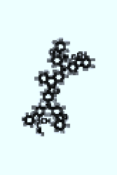 CC1(C)c2ccccc2-c2ccc(N(c3ccc4c(c3)oc3c5ccc(N(c6ccc7c(c6)C(C)(C)c6ccccc6-7)c6ccc7oc8ccccc8c7c6)cc5c5ccccc5c43)c3ccc4oc5ccccc5c4c3)cc21